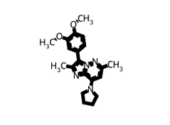 COc1ccc(-c2c(C)nc3c(N4CCCC4)cc(C)nn23)cc1OC